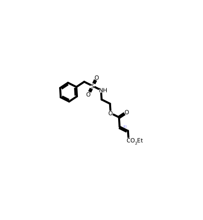 CCOC(=O)/C=C/C(=O)OCCNS(=O)(=O)Cc1ccccc1